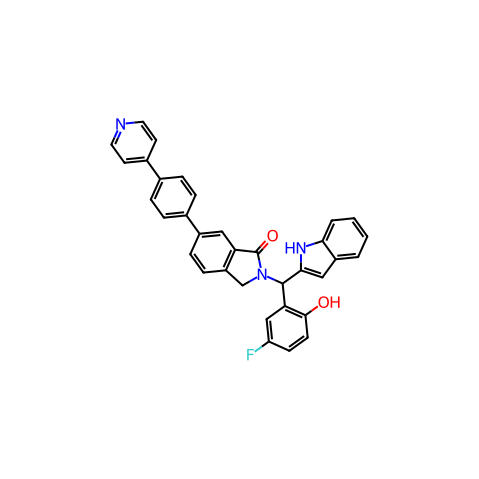 O=C1c2cc(-c3ccc(-c4ccncc4)cc3)ccc2CN1C(c1cc2ccccc2[nH]1)c1cc(F)ccc1O